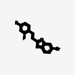 Fc1ccc(C=Cc2nc3ccc(Br)cc3o2)c(F)c1